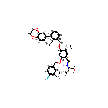 Cc1cc(CNC(CO)C(=O)O)c(OCc2ccc(F)c(C#N)c2)cc1OCc1cccc(-c2ccc3c(c2)OCCO3)c1C